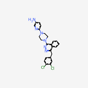 Nc1ccc(N2CCN(c3nnc(Cc4ccc(Cl)c(Cl)c4)c4ccccc34)CC2)nc1